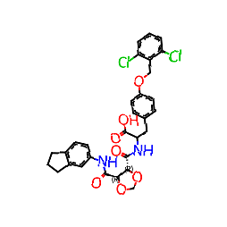 O=C(O)C(Cc1ccc(OCc2c(Cl)cccc2Cl)cc1)NC(=O)[C@@H]1OCO[C@H]1C(=O)Nc1ccc2c(c1)CCC2